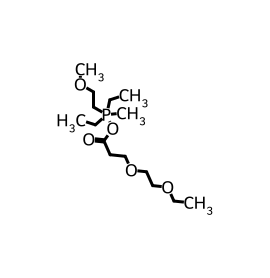 CCOCCOCCC(=O)OP(C)(CC)(CC)CCOC